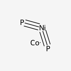 [Co].[P]#[Ni]#[P]